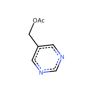 CC(=O)OCc1cncnc1